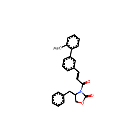 COc1ccccc1-c1cccc(/C=C/C(=O)N2C(=O)OCC2Cc2ccccc2)c1